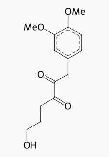 COc1ccc(CC(=O)C(=O)CCCO)cc1OC